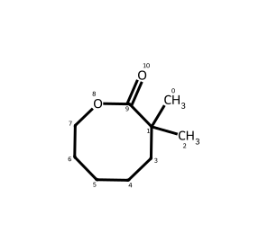 CC1(C)CCCCCOC1=O